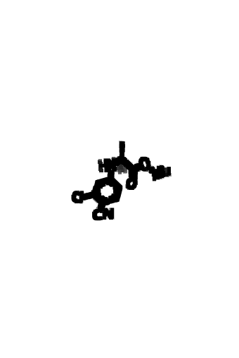 CCCCOC(=O)[C@H](C)Nc1ccc(C#N)c(Cl)c1